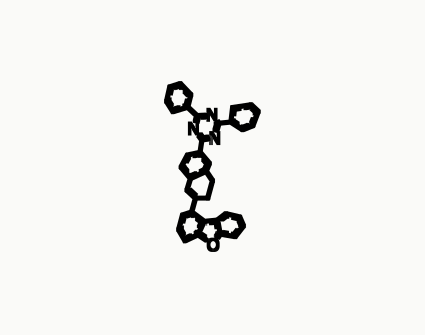 C1=C(c2cccc3oc4ccccc4c23)CCc2cc(-c3nc(-c4ccccc4)nc(-c4ccccc4)n3)ccc21